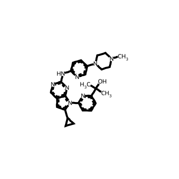 CN1CCN(c2ccc(Nc3ncc4cc(C5CC5)n(-c5cccc(C(C)(C)O)n5)c4n3)nc2)CC1